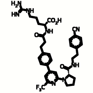 N#Cc1ccc(CCNC(=O)[C@@H]2CCCN2c2cc(-c3ccc(CCC(=O)N[C@@H](CCCNC(=N)N)C(=O)O)cc3)cc(C(F)(F)F)n2)cc1